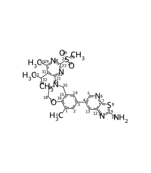 Cc1cc(-c2cnc3sc(N)nc3c2)cc2c1OCCN(c1nc(S(C)(=O)=O)nc(C)c1C(C)C)C2